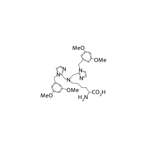 COc1cc(Cn2ccnc2CN(CCCCC(N)C(=O)O)Cc2nccn2Cc2cc(OC)cc(OC)c2)cc(OC)c1